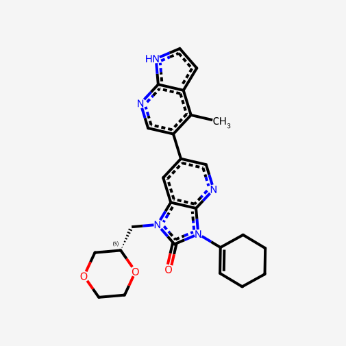 Cc1c(-c2cnc3c(c2)n(C[C@H]2COCCO2)c(=O)n3C2=CCCCC2)cnc2[nH]ccc12